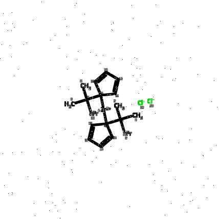 CCCC(C)(C)[C]1([Zr+2][C]2(C(C)(C)CCC)C=CC=C2)C=CC=C1.[Cl-].[Cl-]